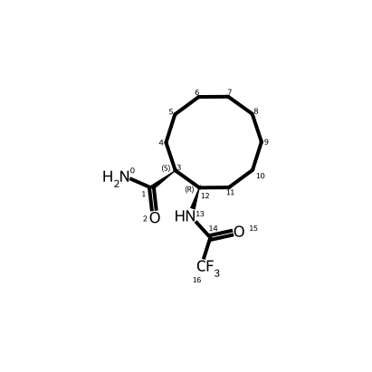 NC(=O)[C@H]1CCCCCCCC[C@H]1NC(=O)C(F)(F)F